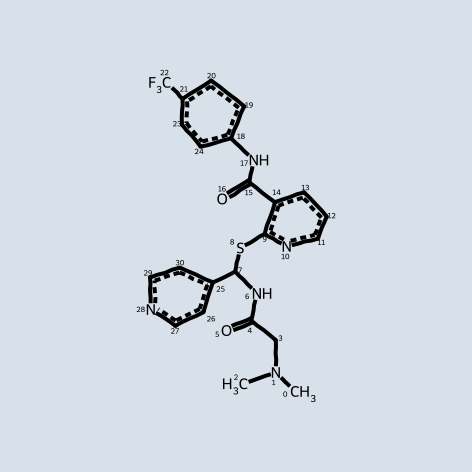 CN(C)CC(=O)NC(Sc1ncccc1C(=O)Nc1ccc(C(F)(F)F)cc1)c1ccncc1